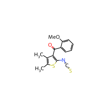 COc1ccccc1C(=O)c1c(N=C=S)sc(C)c1C